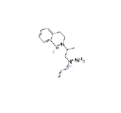 C=C/C=[N+](/N)CC(C)N1CCc2ccccc2[C@H]1C